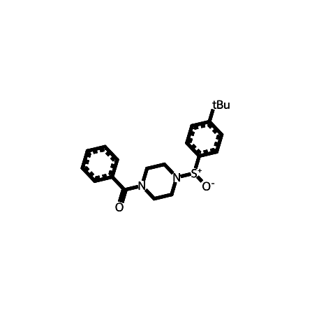 CC(C)(C)c1ccc([S+]([O-])N2CCN(C(=O)c3ccccc3)CC2)cc1